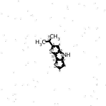 CC(C)c1cc2[nH]c3ccsc3c2s1